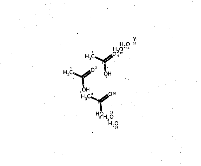 CC(=O)O.CC(=O)O.CC(=O)O.O.O.O.O.[Y]